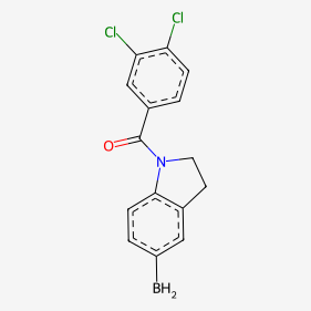 Bc1ccc2c(c1)CCN2C(=O)c1ccc(Cl)c(Cl)c1